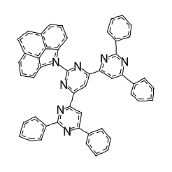 c1ccc(-c2cc(-c3cc(-c4cc(-c5ccccc5)nc(-c5ccccc5)n4)nc(-n4c5cccc6ccc7cccc4c7c65)n3)nc(-c3ccccc3)n2)cc1